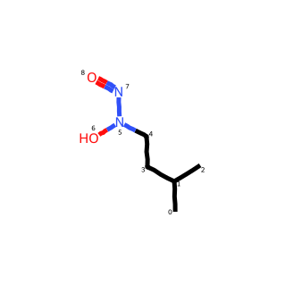 CC(C)CCN(O)N=O